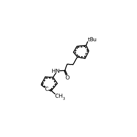 Cc1cccc(NC(=O)CCc2ccc(C(C)(C)C)cc2)c1